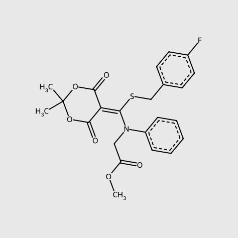 COC(=O)CN(C(SCc1ccc(F)cc1)=C1C(=O)OC(C)(C)OC1=O)c1ccccc1